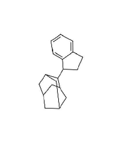 c1ccc2c(c1)CCC2C1[C]2CC3CC(C2)CC1C3